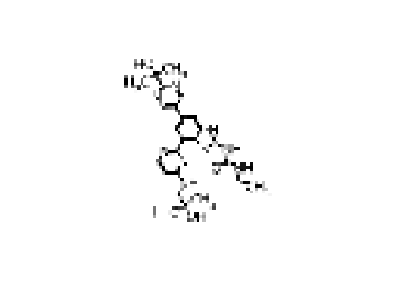 CCNC(=O)Nc1nc2cc(-c3cnc(C(C)(C)O)nc3)cc(-c3nccc(NCC(C)(C)O)n3)c2s1